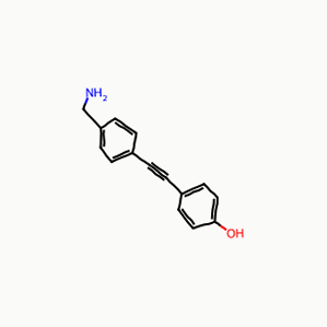 NCc1ccc(C#Cc2ccc(O)cc2)cc1